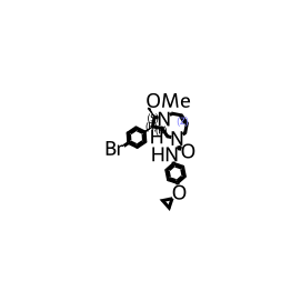 COC[C@@H]1[C@H](c2ccc(Br)cc2)[C@@H]2CN(C(=O)Nc3ccc(OC4CC4)cc3)C/C=C\CN12